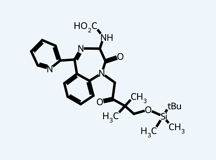 CC(C)(CO[Si](C)(C)C(C)(C)C)C(=O)CN1C(=O)C(NC(=O)O)N=C(c2ccccn2)c2ccccc21